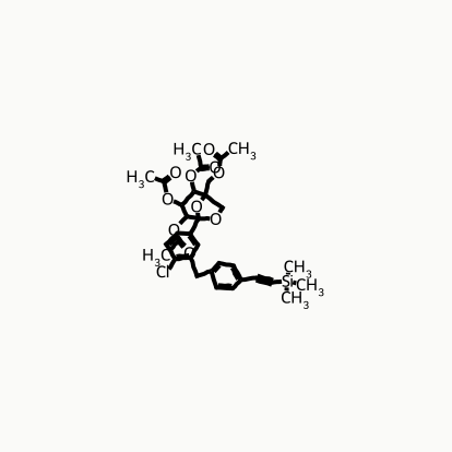 CC(=O)OCC12COC(c3ccc(Cl)c(Cc4ccc(C#C[Si](C)(C)C)cc4)c3)(O1)C(OC(C)=O)C(OC(C)=O)C2OC(C)=O